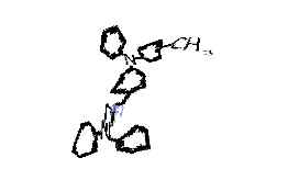 Cc1ccc(N(c2ccccc2)c2ccc(/C=N/N(c3ccccc3)c3ccccc3)cc2)cc1